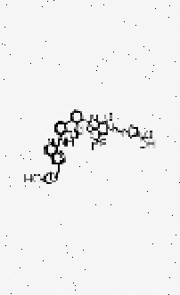 O=C(O)[C@@H]1CCN(CCn2cc(C(F)(F)F)c3oc(-c4cccc(-c5cccc(Nc6nccc7cc(CN8CC[C@@H](O)C8)cnc67)c5Cl)c4Cl)nc3c2=O)C1